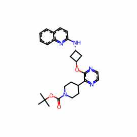 CC(C)(C)OC(=O)N1CCC(c2nccnc2O[C@H]2C[C@H](Nc3ccc4ccccc4n3)C2)CC1